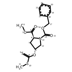 COC(=O)[C@@H]1C[C@@H](OC(=S)SC)CN1C(=O)OCc1ccccc1